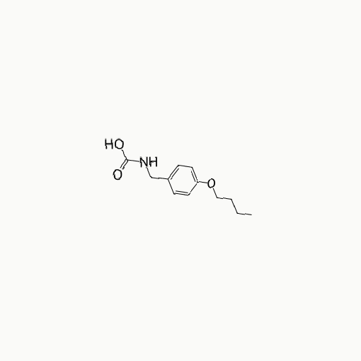 CCCCOc1ccc(CNC(=O)O)cc1